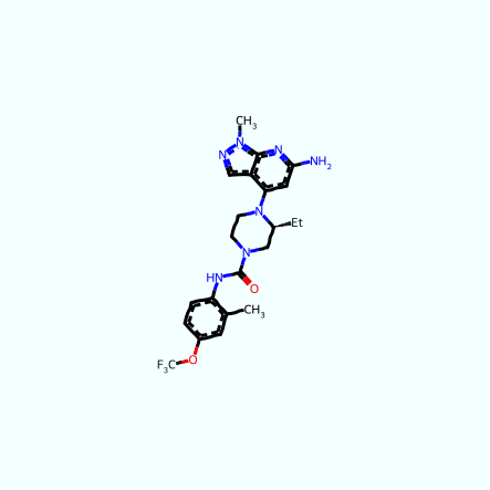 CC[C@H]1CN(C(=O)Nc2ccc(OC(F)(F)F)cc2C)CCN1c1cc(N)nc2c1cnn2C